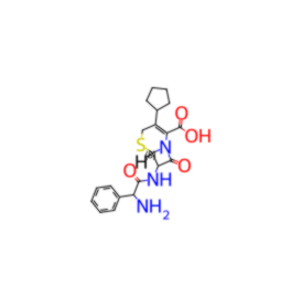 NC(C(=O)NC1C(=O)N2C(C(=O)O)=C(C3CCCC3)CS[C@@H]12)c1ccccc1